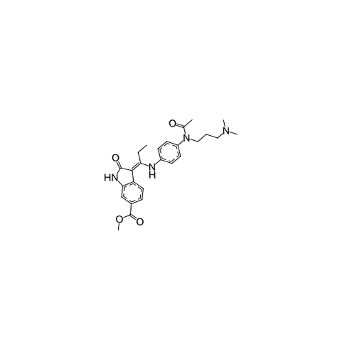 CCC(Nc1ccc(N(CCCN(C)C)C(C)=O)cc1)=C1C(=O)Nc2cc(C(=O)OC)ccc21